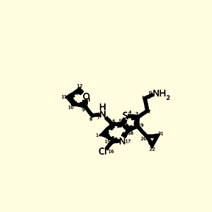 NCCc1sc2c(NCc3ccco3)cc(Cl)nc2c1C1CC1